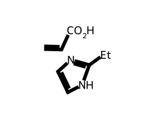 C=CC(=O)O.CCc1ncc[nH]1